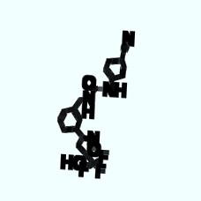 N#Cc1ccc(NC(=O)NCc2cccc(C3=NOC(O)(C(F)(F)F)C3)c2)cc1